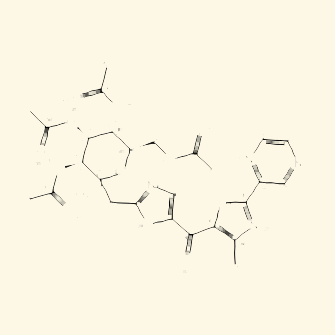 CC(=O)OC[C@H]1O[C@@](O)(Cc2ncc(C(=O)c3sc(-c4cnccn4)nc3C)s2)[C@@H](OC(C)=O)[C@@H](OC(C)=O)[C@@H]1OC(C)=O